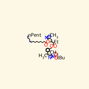 CCCCC/C=C\C/C=C\CCCCCCCC(=O)OC[C@H](Cc1cncn1C)C(CC)C(=O)OCc1cccc([C@H](C)c2cn(C(=O)OC(C)(C)C)cn2)c1C